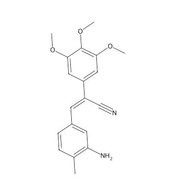 COc1cc(C(C#N)=Cc2ccc(C)c(N)c2)cc(OC)c1OC